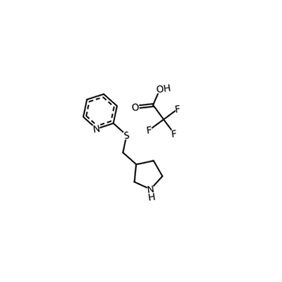 O=C(O)C(F)(F)F.c1ccc(SCC2CCNC2)nc1